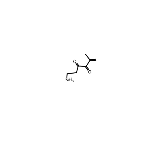 C=C(C)C(=O)C(=O)CC[SiH3]